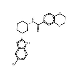 O=C(N[C@H]1CCC[C@@H](c2nc3cc(Br)ccc3[nH]2)C1)c1ccc2c(c1)OCCO2